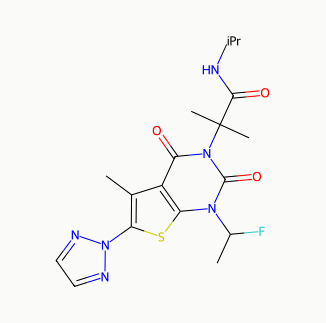 Cc1c(-n2nccn2)sc2c1c(=O)n(C(C)(C)C(=O)NC(C)C)c(=O)n2C(C)F